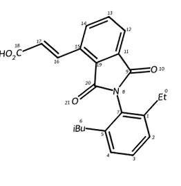 CCc1cccc(C(C)CC)c1N1C(=O)c2cccc(C=CC(=O)O)c2C1=O